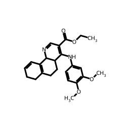 CCOC(=O)C1=C(Nc2ccc(OC)c(OC)c2)C2CCC3=C(C=CCC3)C2N=C1